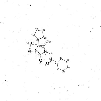 CCN1C(=O)N(CC(=O)C2CCCCC2)C(=O)C1(C)C1CCCC1